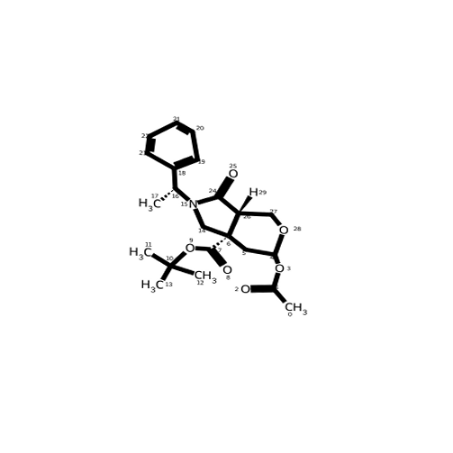 CC(=O)OC1C[C@@]2(C(=O)OC(C)(C)C)CN([C@H](C)c3ccccc3)C(=O)[C@@H]2CO1